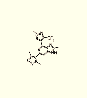 Cc1nc2c(-c3cn(C)nc3C(F)(F)F)cc(-c3c(C)noc3C)cc2[nH]1